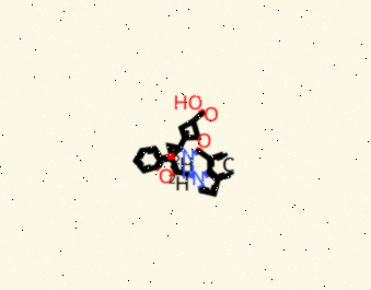 [2H]C([2H])(c1cc2ccccc2o1)n1ccc2cccc(C(=O)NC3(C45CC(C(=O)O)(C4)C5)CC3)c21